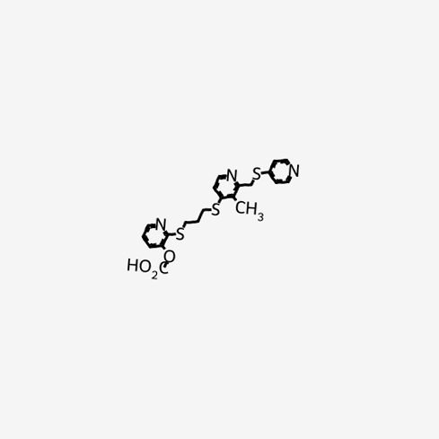 Cc1c(SCCCSc2ncccc2OC(=O)O)ccnc1CSc1ccncc1